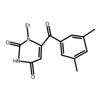 CCn1c(C(=O)c2cc(C)cc(C)c2)cc(=O)[nH]c1=O